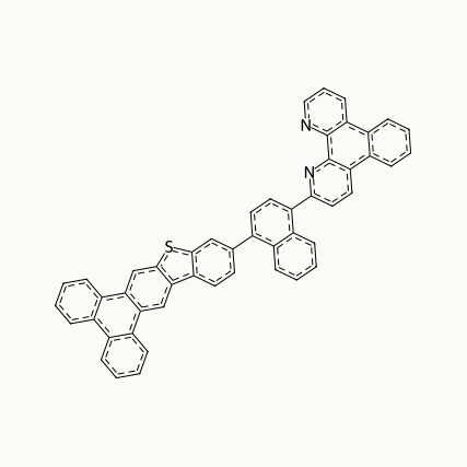 c1ccc2c(-c3ccc4c5ccccc5c5cccnc5c4n3)ccc(-c3ccc4c(c3)sc3cc5c6ccccc6c6ccccc6c5cc34)c2c1